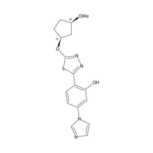 CO[C@@H]1CC[C@H](Oc2nnc(-c3ccc(-n4ccnc4)cc3O)s2)C1